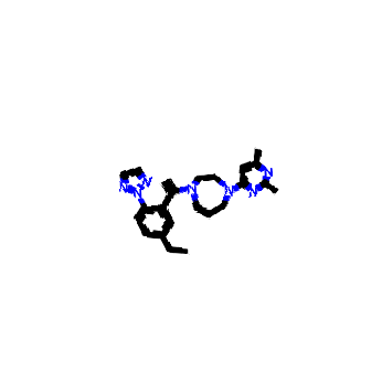 C=C(c1cc(CC)ccc1-n1nccn1)N1CCCN(c2cc(C)nc(C)n2)CC1